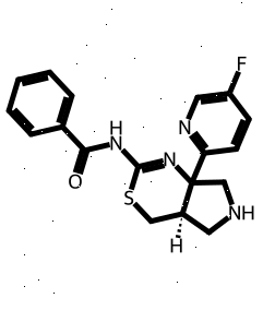 O=C(NC1=NC2(c3ccc(F)cn3)CNC[C@H]2CS1)c1ccccc1